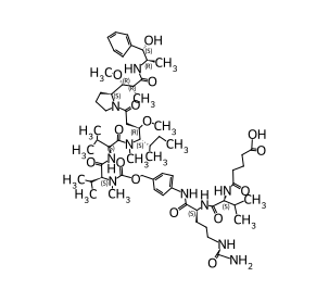 CCC(C)[C@@H]([C@@H](CC(=O)N1CCC[C@H]1[C@H](OC)[C@@H](C)C(=O)N[C@H](C)[C@@H](O)c1ccccc1)OC)N(C)C(=O)[C@@H](NC(=O)[C@H](C(C)C)N(C)C(=O)OCc1ccc(NC(=O)[C@H](CCCNC(N)=O)NC(=O)[C@@H](NC(=O)CCCC(=O)O)C(C)C)cc1)C(C)C